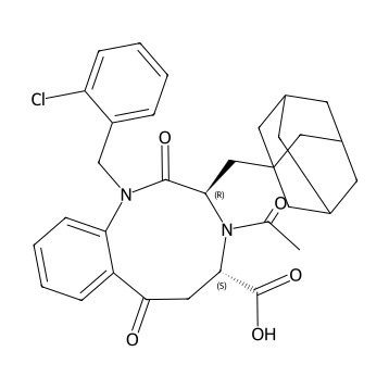 CC(=O)N1[C@H](CC23CC4CC(CC(C4)C2)C3)C(=O)N(Cc2ccccc2Cl)c2ccccc2C(=O)C[C@H]1C(=O)O